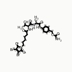 CC(C)[C@H](NC(=O)CCCCCN1C(=O)C(Br)=C(Br)C1=O)C(=O)N[C@@H](C)C(=O)Nc1ccc(COC(N)=O)cc1